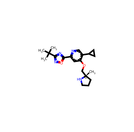 CC(C)(C)c1noc(-c2cc(OC[C@]3(C)CCCN3)c(C3CC3)cn2)n1